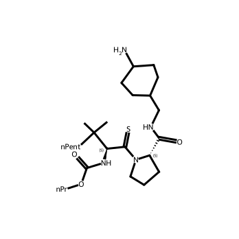 CCCCCC(C)(C)[C@H](NC(=O)OCCC)C(=S)N1CCC[C@H]1C(=O)NCC1CCC(N)CC1